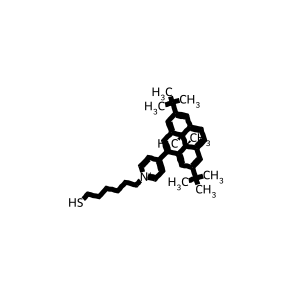 CC(C)(C)C1=CC2=CC=C3C=C(C(C)(C)C)C=C4C(c5cc[n+](CCCCCCS)cc5)=CC(=C1)[C@@]2(C)[C@@]34C